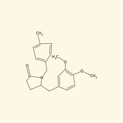 COc1ccc(CC2CCC(=O)N2Cc2ccc(C)cc2)cc1OC